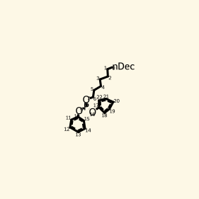 CCCCCCCCCCCCCCCCOP(Oc1ccccc1)Oc1ccccc1